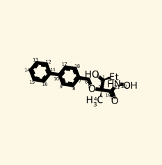 CC[C@H](O)[C@](C)(OCc1ccc(-c2ccccc2)cc1)C(=O)NO